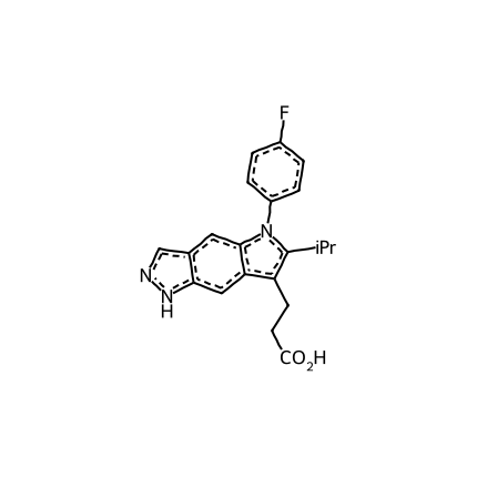 CC(C)c1c(CCC(=O)O)c2cc3[nH]ncc3cc2n1-c1ccc(F)cc1